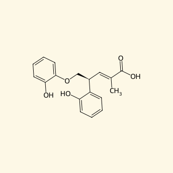 CC(=C[C@H](COc1ccccc1O)c1ccccc1O)C(=O)O